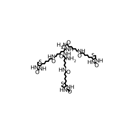 NC(=O)C(CCCCNC(=O)CCCCC1SCC2NC(=O)NC21)NC(=O)C(CCCCNC(=O)CCCCC1SCC2NC(=O)NC21)NC(=O)C(N)CCCCNC(=O)CCCCC1SCC2NC(=O)NC21